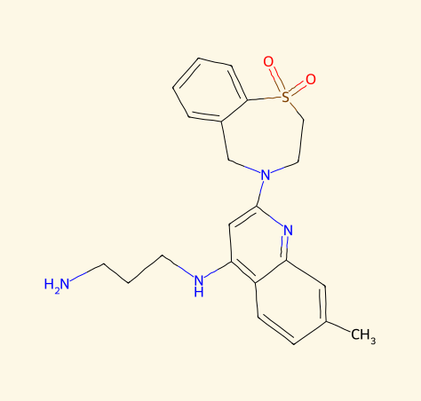 Cc1ccc2c(NCCCN)cc(N3CCS(=O)(=O)c4ccccc4C3)nc2c1